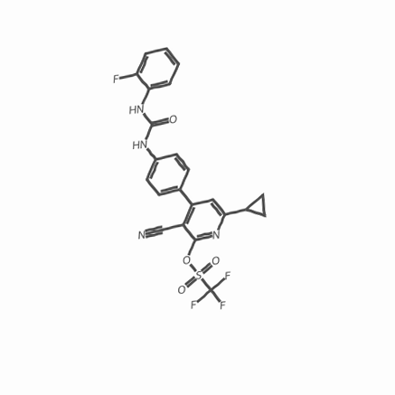 N#Cc1c(-c2ccc(NC(=O)Nc3ccccc3F)cc2)cc(C2CC2)nc1OS(=O)(=O)C(F)(F)F